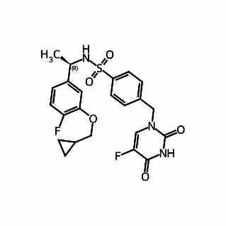 C[C@@H](NS(=O)(=O)c1ccc(Cn2cc(F)c(=O)[nH]c2=O)cc1)c1ccc(F)c(OCC2CC2)c1